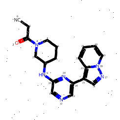 N#CCC(=O)N1CCCC(Nc2cncc(-c3cnn4ccccc34)n2)C1